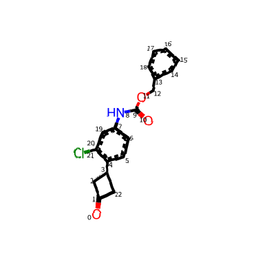 O=C1CC(c2ccc(NC(=O)OCc3ccccc3)cc2Cl)C1